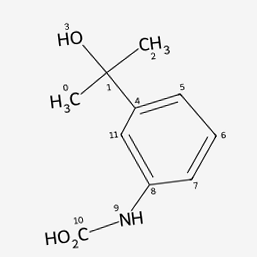 CC(C)(O)c1cccc(NC(=O)O)c1